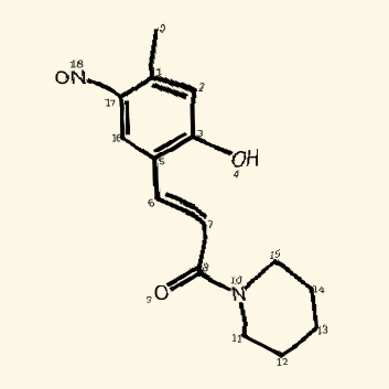 Cc1cc(O)c(/C=C/C(=O)N2CCCCC2)cc1N=O